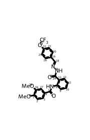 COc1ccc(C(=O)Nc2ccccc2C(=O)NN=Cc2ccc(OC(F)(F)F)cc2)cc1OC